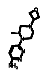 C[C@H]1CN(C2COC2)CCN1c1ccc(N)nn1